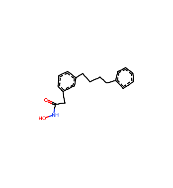 O=C(Cc1cccc(CCCCc2ccccc2)c1)NO